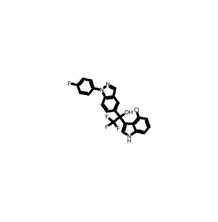 OC(c1ccc2c(cnn2-c2ccc(F)cc2)c1)(c1c[nH]c2cccc(Cl)c12)C(F)(F)F